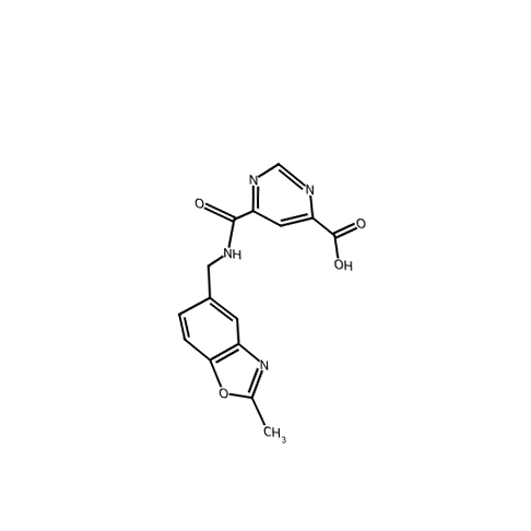 Cc1nc2cc(CNC(=O)c3cc(C(=O)O)ncn3)ccc2o1